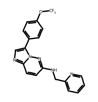 FC(F)(F)Oc1ccc(-c2cnc3ccc(NCc4ccccn4)nn23)cc1